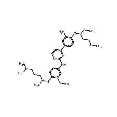 CCC(CCOC)Oc1ccc(-c2ccnc(Nc3ccc(SN(C)CCCN(C)C)c(OC)c3)n2)cc1N